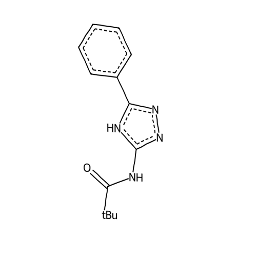 CC(C)(C)C(=O)Nc1nnc(-c2ccccc2)[nH]1